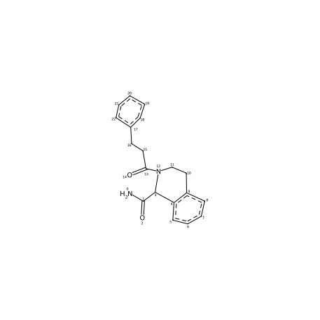 NC(=O)C1c2cc[c]cc2CCN1C(=O)CCc1ccccc1